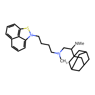 CNC(CN(C)CCCCN1Sc2cccc3cccc1c23)C12CC3CC(CC(C3)C1)C2